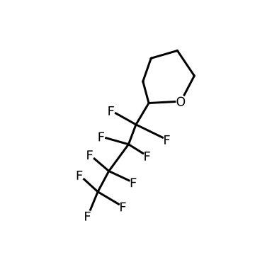 FC(F)(F)C(F)(F)C(F)(F)C(F)(F)C1CCCCO1